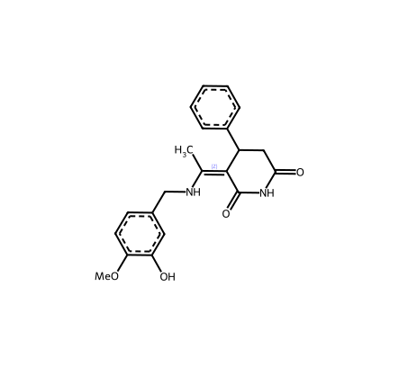 COc1ccc(CN/C(C)=C2\C(=O)NC(=O)CC2c2ccccc2)cc1O